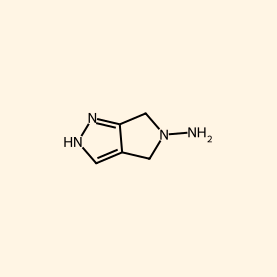 NN1Cc2c[nH]nc2C1